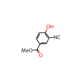 [C-]#[N+]c1cc(C(=O)OC)ccc1O